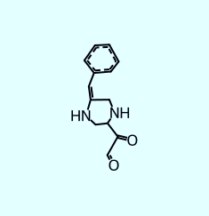 O=CC(=O)C1CNC(=Cc2ccccc2)CN1